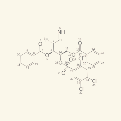 N=C[C@@H](F)[C@H](OC(=O)c1ccccc1)[C@@H](COC(=O)c1ccccc1)OS(=O)(=O)c1cc(Cl)c(Cl)cc1Cl